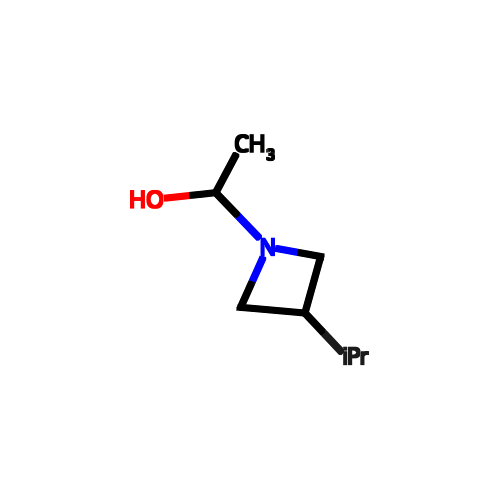 CC(C)C1CN(C(C)O)C1